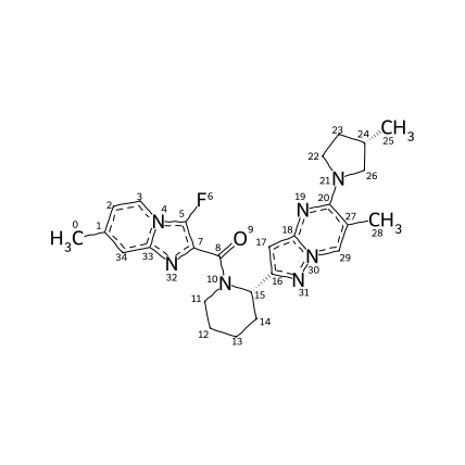 Cc1ccn2c(F)c(C(=O)N3CCCC[C@H]3c3cc4nc(N5CC[C@H](C)C5)c(C)cn4n3)nc2c1